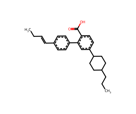 CCC=Cc1ccc(-c2cc(C3CCC(CCC)CC3)ccc2C(=O)O)cc1